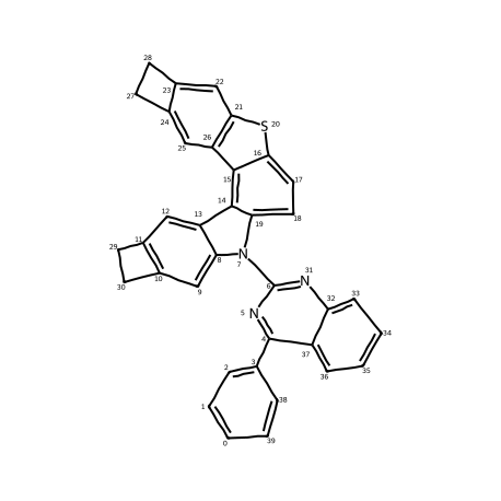 c1ccc(-c2nc(-n3c4cc5c(cc4c4c6c(ccc43)sc3cc4c(cc36)CC4)CC5)nc3ccccc23)cc1